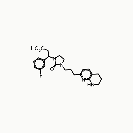 O=C(O)CC(c1cccc(F)c1)N1CCN(CCCc2ccc3c(n2)NCCC3)C1=O